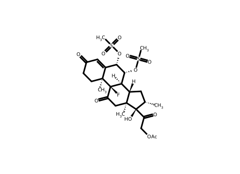 CC(=O)OCC(=O)[C@@]1(O)[C@@H](C)C[C@H]2[C@@H]3[C@@H](OS(C)(=O)=O)[C@@H](OS(C)(=O)=O)C4=CC(=O)CC[C@]4(C)[C@@]3(F)C(=O)C[C@@]21C